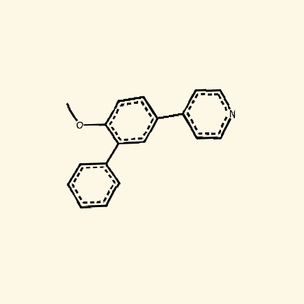 COc1ccc(-c2ccncc2)cc1-c1ccccc1